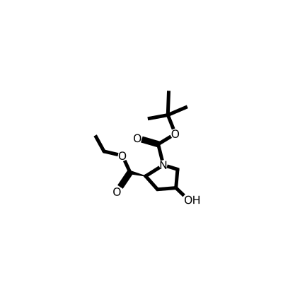 CCOC(=O)[C@@H]1CC(O)CN1C(=O)OC(C)(C)C